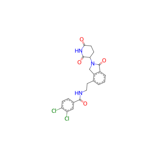 O=C1CCC(N2Cc3c(CCNC(=O)c4ccc(Cl)c(Cl)c4)cccc3C2=O)C(=O)N1